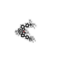 CC1=Cc2c(-c3ccc([Si](C)(C)C)cc3)ccc(C)c2[CH]1[Zr]([Cl])([Cl])([CH]1C(C(C)C)=Cc2c(-c3ccc(C(C)(C)C)cc3)cccc21)[SiH](C)C